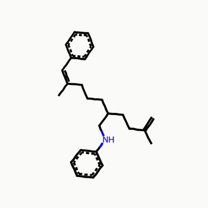 C=C(C)CCC(CCC/C(C)=C\c1ccccc1)CNc1ccccc1